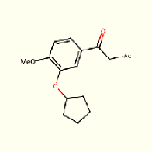 COc1ccc(C(=O)CC(C)=O)cc1OC1CCCC1